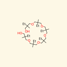 CCC(C)(CO)COCC(C)(CC)COCC(C)(CC)COCC(C)(CC)COCC(C)(CC)COCC(C)(CC)CO